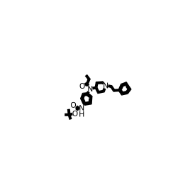 CCC(=O)N(c1ccc(NC(=O)OC(C)(C)C)cc1)C1CCN(CCc2ccccc2)CC1